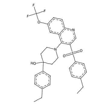 CCc1ccc(C2(O)CCN(c3c(S(=O)(=O)c4ccc(CC)cc4)cnc4ccc(OC(F)(F)F)cc34)CC2)cc1